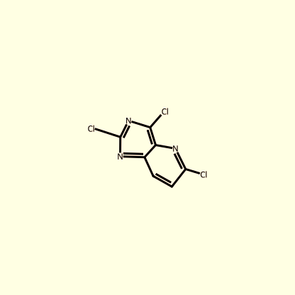 Clc1ccc2nc(Cl)nc(Cl)c2n1